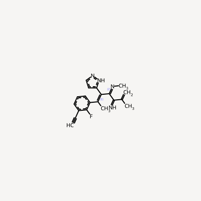 C#Cc1cccc(/C(C)=C(/C(=N/C)C(=N)C(=C)C)c2ccn[nH]2)c1F